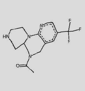 CC(=O)N1Cc2cc(C(F)(F)F)cnc2N2CCNCC12